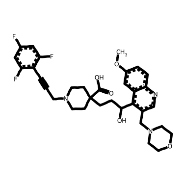 COc1ccc2ncc(CN3CCOCC3)c(C(O)CCC3(C(=O)O)CCN(CC#Cc4c(F)cc(F)cc4F)CC3)c2c1